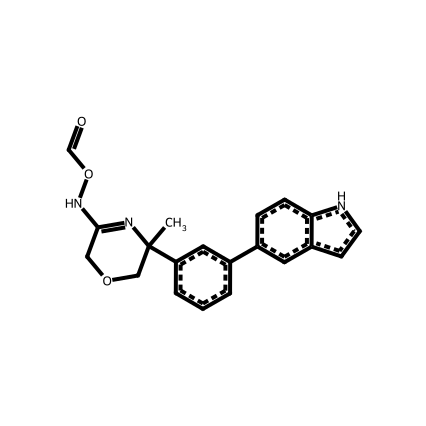 CC1(c2cccc(-c3ccc4[nH]ccc4c3)c2)COCC(NOC=O)=N1